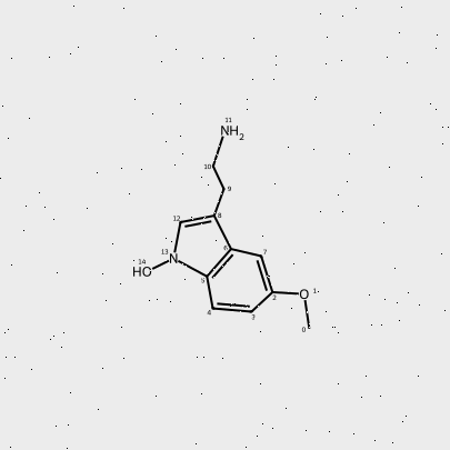 COc1ccc2c(c1)c(CCN)cn2O